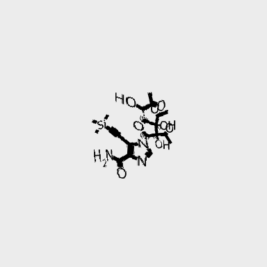 CC(=O)C(O)[C@H]1O[C@@H](n2cnc(C(N)=O)c2C#C[Si](C)(C)C)[C@@](O)(C(C)=O)[C@@]1(O)C(C)=O